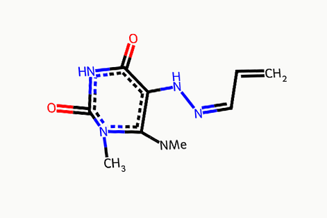 C=C/C=N\Nc1c(NC)n(C)c(=O)[nH]c1=O